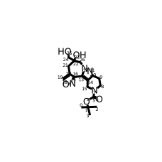 CC(C)(C)OC(=O)N1CCc2nn3c(c2C1)-c1nocc1CC(O)(CO)C3